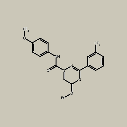 CCOC1CN(C(=O)Nc2ccc(OC(F)(F)F)cc2)N=C(c2cccc(C(F)(F)F)c2)O1